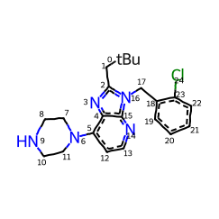 CC(C)(C)Cc1nc2c(N3CCNCC3)ccnc2n1Cc1ccccc1Cl